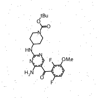 COc1ccc(F)c(C(=O)c2cnc(NC3CCN(C(=O)OC(C)(C)C)CC3)nc2N)c1F